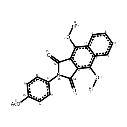 CCCOc1c2c(c(OCC)c3ccccc13)C(=O)N(c1ccc(OC(C)=O)cc1)C2=O